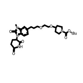 Cn1c(=O)n(C2CCC(=O)NC2=O)c2ccc(CCCOCCOC3CCN(C(=O)OC(C)(C)C)CC3)cc21